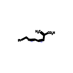 C=C(/C=C\C=N\CC(C)C)C(=O)O